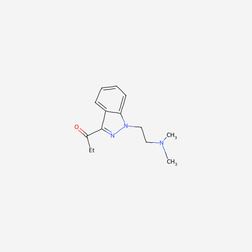 CCC(=O)c1nn(CCN(C)C)c2ccccc12